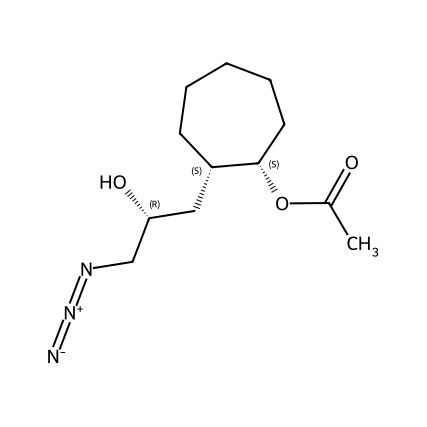 CC(=O)O[C@H]1CCCCC[C@H]1C[C@@H](O)CN=[N+]=[N-]